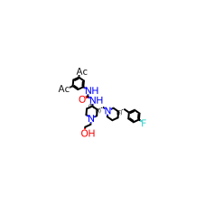 CC(=O)c1cc(NC(=O)N[C@@H]2CCN(CCO)C[C@H]2CN2CCC[C@@H](Cc3ccc(F)cc3)C2)cc(C(C)=O)c1